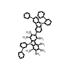 Bc1c(B)c(B)c2c(c1B)c1c(B)c(-c3ccc4c(c3)c3cc(-c5ccccc5)ccc3n4-c3ccccc3-c3ccccc3)c(B)c(B)c1n2-c1cccc(-c2ccccc2)c1